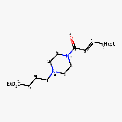 CCCCCCCC=CC(=O)N1CCN(CCCC(=O)OCC)CC1